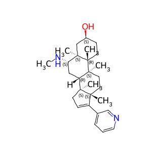 CN[C@H]1C[C@@H]2[C@](C)(CC[C@]3(C)C(c4cccnc4)=CC[C@@]23C)[C@@]2(C)CC[C@H](O)C[C@]12C